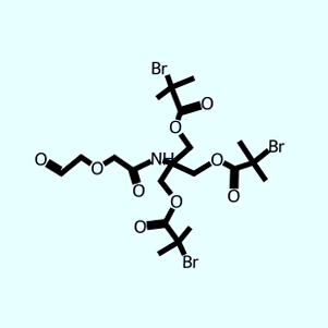 CC(C)(Br)C(=O)OCC(COC(=O)C(C)(C)Br)(COC(=O)C(C)(C)Br)NC(=O)COCC=O